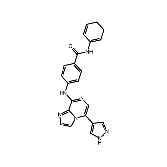 O=C(NC1=CCCC=C1)c1ccc(Nc2ncc(-c3cn[nH]c3)n3ccnc23)cc1